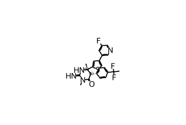 CN1C(=N)N[C@](C)(c2cc(-c3cncc(F)c3)cs2)[C@H](c2ccc(C(C)(F)F)cc2)C1=O